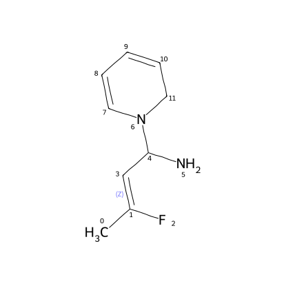 C/C(F)=C/C(N)N1C=CC=CC1